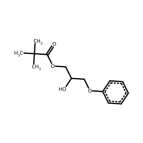 CC(C)(C)C(=O)OCC(O)COc1ccccc1